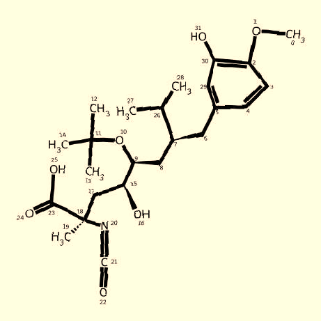 COc1ccc(C[C@@H](C[C@H](OC(C)(C)C)[C@@H](O)C[C@@](C)(N=C=O)C(=O)O)C(C)C)cc1O